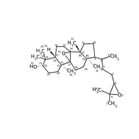 CC(CCC1OC1(C)C)C1CC[C@@]2(C)C34CC[C@H]5C(C)(C)[C@@H](O)CC[C@]5(C)C3(CC[C@]12C)O4